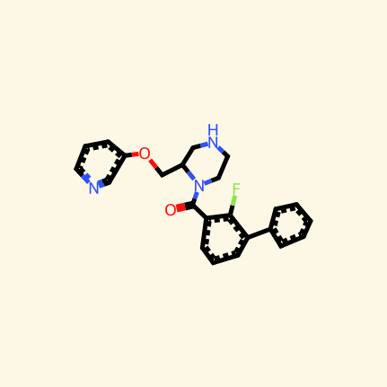 O=C(c1cccc(-c2ccccc2)c1F)N1CCNCC1COc1cccnc1